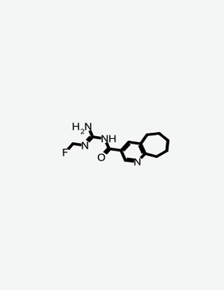 NC(=NCF)NC(=O)c1cnc2c(c1)CCCCC2